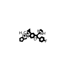 CS(=O)(=O)N(CC1CCCC1)c1cc2oc(-c3ccc(F)cc3)c(-c3ncc[nH]3)c2cc1C1CC1